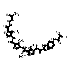 C=C(Br)C(=O)Nc1ccc2sc(C(=O)Nc3c[nH]c(C(=O)Nc4c[nH]c(C(=O)Nc5c[nH]c(C(=O)NCCC(=N)N)c5C)c4C)c3C)nc2c1.Cl